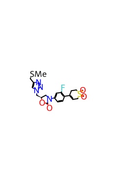 CSCc1cn(C[C@H]2CN(c3ccc(C4=CCS(=O)(=O)CC4)c(F)c3)C(=O)O2)nn1